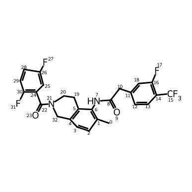 Cc1ccc2c(c1NC(=O)Cc1ccc(C(F)(F)F)c(F)c1)CCN(C(=O)c1cc(F)ccc1F)C2